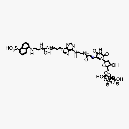 O=C(/C=C/c1cn(C2CC(O)C(COP(=O)(O)OP(=O)(O)OP(=O)(O)O)O2)c(=O)[nH]c1=O)NCCNc1ncnc2c1ncn2CCCCNC(O)NCCNc1cccc2c(S(=O)(=O)O)cccc12